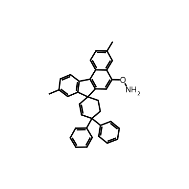 Cc1ccc2c(c1)C1(C=CC(c3ccccc3)(c3ccccc3)CC1)c1cc(ON)c3cc(C)ccc3c1-2